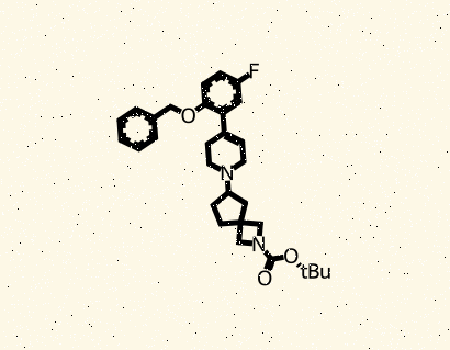 CC(C)(C)OC(=O)N1CC2(CCC(N3CC=C(c4cc(F)ccc4OCc4ccccc4)CC3)C2)C1